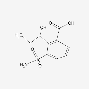 CCC(O)c1c(C(=O)O)cccc1S(N)(=O)=O